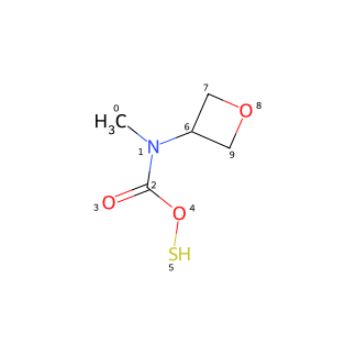 CN(C(=O)OS)C1COC1